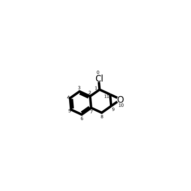 ClC1c2ccccc2CC2OC21